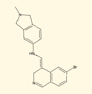 CN1Cc2ccc(NC=C3CN=Cc4ccc(Br)cc43)cc2C1